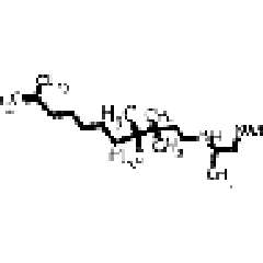 C=C(C)CCCCCC(C)(C)C(C)(C)CCNC(C)CNC